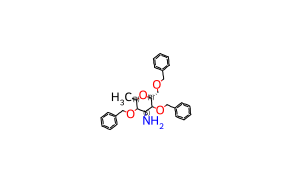 C[C@H]1O[C@H](COCc2ccccc2)C(OCc2ccccc2)[C@@H](N)C1OCc1ccccc1